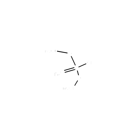 CCCCCCCCOP(=O)(O)OCCCCCCCC.[Fe]